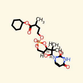 CC(CCO[P@@]1(=O)OC[C@H]2O[C@@H](n3ccc(=O)[nH]c3=O)C(C)(C)[C@@H]2O1)C(=O)OC1CCCCC1